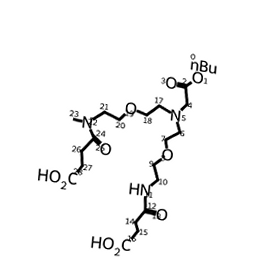 CCCCOC(=O)CN(CCOCCNC(=O)CCC(=O)O)CCOCCN(C)C(=O)CCC(=O)O